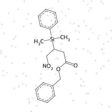 C[Si](C)(c1ccccc1)C(CC(=O)OCc1ccccc1)C[N+](=O)[O-]